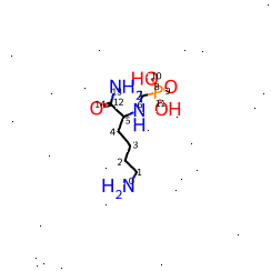 NCCCCC(NCP(=O)(O)O)C(N)=O